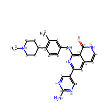 Cc1cc(Nc2nc(-c3cnc(N)nc3)cc3cc[nH]c(=O)c23)ccc1C1CCN(C)CC1